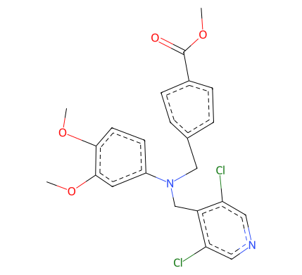 COC(=O)c1ccc(CN(Cc2c(Cl)cncc2Cl)c2ccc(OC)c(OC)c2)cc1